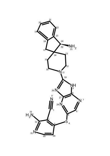 N#Cc1c(Sc2cnc3[nH]c(N4CCC5(CC4)Cc4ccccc4[C@H]5N)nc3n2)ccnc1N